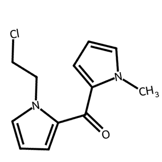 Cn1cccc1C(=O)c1cccn1CCCl